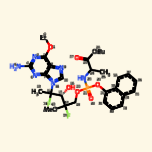 CCOc1nc(N)nc2c1ncn2C(C)(F)[C@H](O)C(F)(COP(=O)(NC(C)C(=O)OCC(C)C)Oc1cccc2ccccc12)OC